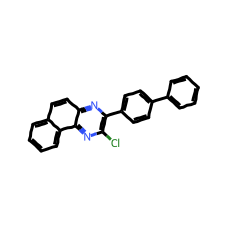 Clc1nc2c(ccc3ccccc32)nc1-c1ccc(-c2ccccc2)cc1